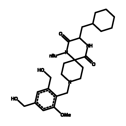 CCCCN1C(=O)C(CC2CCCCC2)NC(=O)C12CCN(Cc1c(CO)cc(CO)cc1OC)CC2